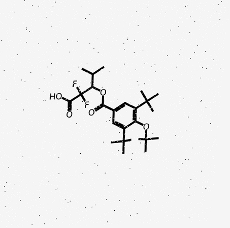 CC(C)C(OC(=O)c1cc(C(C)(C)C)c(OC(C)(C)C)c(C(C)(C)C)c1)C(F)(F)C(=O)O